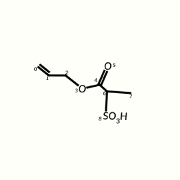 C=CCOC(=O)C(C)S(=O)(=O)O